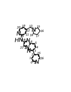 c1cc(-c2ccc3nc(Nc4cc(CN5CCCC5)ccn4)cn3n2)ccn1